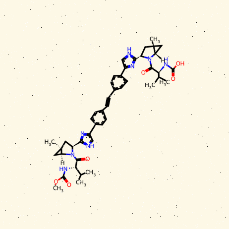 COC(=O)N[C@H](C(=O)N1[C@H]2C[C@@]2(C)C[C@H]1c1nc(-c2ccc(C#Cc3ccc(-c4c[nH]c([C@@H]5C[C@]6(C)C[C@@H]6N5C(=O)[C@@H](NC(=O)O)C(C)C)n4)cc3)cc2)c[nH]1)C(C)C